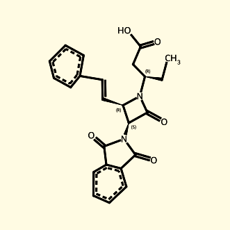 CC[C@H](CC(=O)O)N1C(=O)[C@@H](N2C(=O)c3ccccc3C2=O)[C@H]1C=Cc1ccccc1